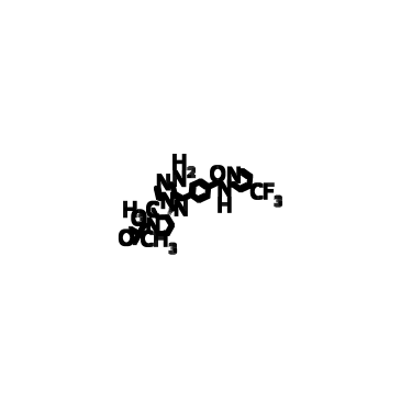 C[C@H]1[C@H](c2nc(-c3ccc(C(=O)Nc4cc(C(F)(F)F)ccn4)cc3)c3c(N)nccn23)CCCN1C(=O)C1(C)COC1